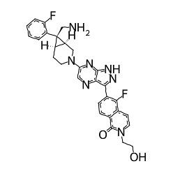 NC[C@]1(c2ccccc2F)[C@@H]2CCN(c3cnc4c(-c5ccc6c(=O)n(CCO)ccc6c5F)n[nH]c4n3)C[C@@H]21